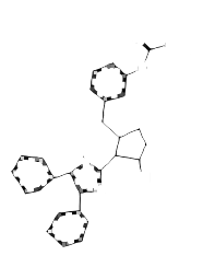 CC(=O)Oc1cccc(CC2CCC(O)C2c2nc(-c3ccccc3)c(-c3ccccc3)o2)c1